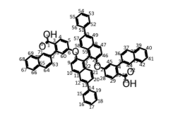 O=C(O)c1ccc(Oc2ccc3cc(-c4ccccc4)ccc3c2-c2c(Oc3ccc(C(=O)O)c(-c4ccc5ccccc5c4)c3)ccc3cc(-c4ccccc4)ccc23)cc1-c1ccc2ccccc2c1